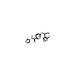 CCC(C)C(Oc1ccc(C(=O)N[C@@H]2CCOC2)nn1)c1cnoc1C